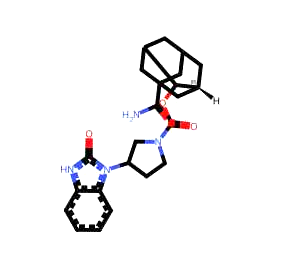 NC(=O)C12CC3CC(C1)C(OC(=O)N1CCC(n4c(=O)[nH]c5ccccc54)C1)[C@H](C3)C2